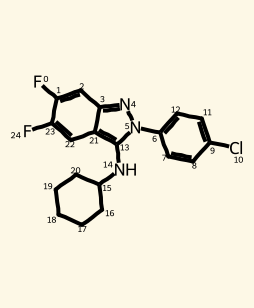 Fc1cc2nn(-c3ccc(Cl)cc3)c(NC3CCCCC3)c2cc1F